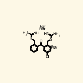 Br.Br.Br.Br.N=C(N)SCc1ccccc1C(=O)c1cc(Cl)ccc1CSC(=N)N